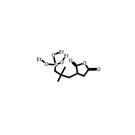 CCO[Si](CC(C)(C)CC1CC(=O)OC1=O)(OCC)OCC